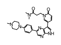 CN1CCN(c2ccc(-c3cnc4[nH]cc(-c5ccc(=O)n(CCC(=O)N(C)C)c5)c4n3)cc2)CC1